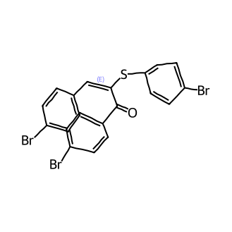 O=C(/C(=C\c1ccc(Br)cc1)Sc1ccc(Br)cc1)c1ccc(Br)cc1